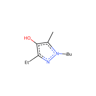 CCc1nn(C(C)CC)c(C)c1O